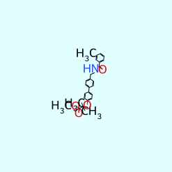 CCOC(=O)C(C)(C)Oc1ccc(-c2ccc(CCNC(=O)c3cccc(C)c3)cc2)cc1